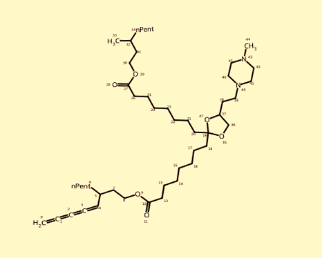 C=C=C=C=CC(CCCCC)CCOC(=O)CCCCCCCC1(CCCCCCCC(=O)OCCC(C)CCCCC)OCC(CCN2CCN(C)CC2)O1